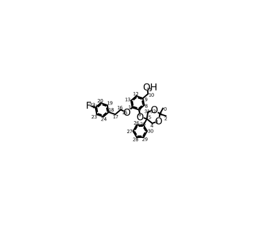 CC1(C)OCC(Oc2cc(CO)ccc2OCCc2ccc(F)cc2)(c2ccccc2)CO1